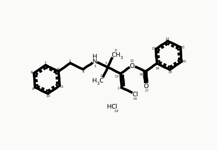 CC(C)(NCCc1ccccc1)C(=CCl)OC(=O)c1ccccc1.Cl